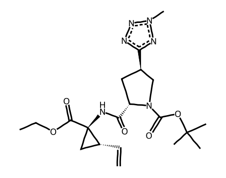 C=C[C@@H]1C[C@]1(NC(=O)[C@@H]1C[C@@H](c2nnn(C)n2)CN1C(=O)OC(C)(C)C)C(=O)OCC